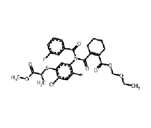 CCOCOC(=O)C1=C(C(=O)N(C(=O)c2cccc(F)c2)c2cc(SC(C)C(=O)OC)c(Cl)cc2F)CCCC1